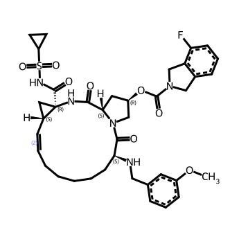 COc1cccc(CN[C@H]2CCCCC/C=C\[C@@H]3C[C@@]3(C(=O)NS(=O)(=O)C3CC3)NC(=O)[C@@H]3C[C@@H](OC(=O)N4Cc5cccc(F)c5C4)CN3C2=O)c1